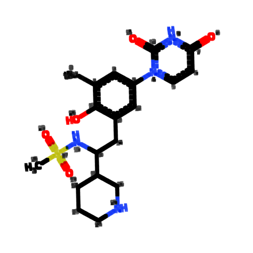 CC(C)(C)c1cc(-n2ccc(=O)[nH]c2=O)cc(CC(NS(C)(=O)=O)C2CCCNC2)c1O